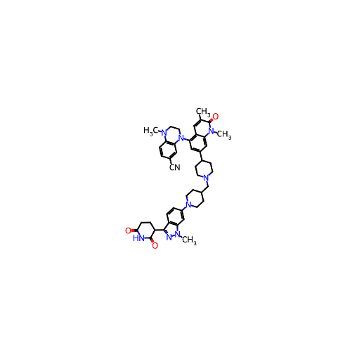 Cc1cc2c(N3CCN(C)c4ccc(C#N)cc43)cc(C3CCN(CC4CCN(c5ccc6c(C7CCC(=O)NC7=O)nn(C)c6c5)CC4)CC3)cc2n(C)c1=O